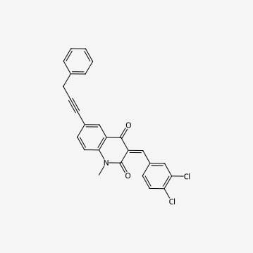 CN1C(=O)/C(=C\c2ccc(Cl)c(Cl)c2)C(=O)c2cc(C#CCc3ccccc3)ccc21